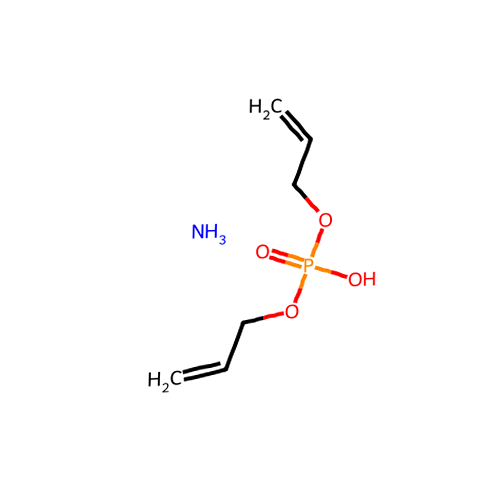 C=CCOP(=O)(O)OCC=C.N